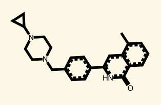 Cc1cccc2c(=O)[nH]c(-c3ccc(CN4CCN(C5CC5)CC4)cc3)cc12